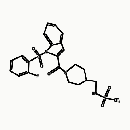 O=C(c1cc2ccccc2n1S(=O)(=O)c1ccccc1F)N1CCC(CNS(=O)(=O)C(F)(F)F)CC1